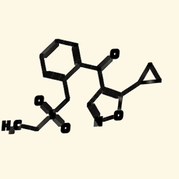 CCS(=O)(=O)Cc1ccccc1C(=O)c1cnoc1C1CC1